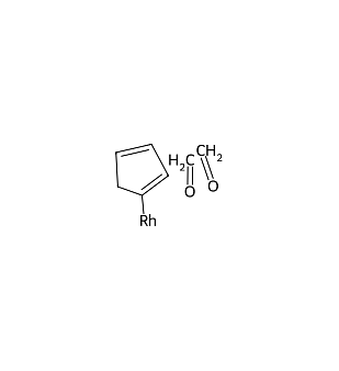 C=O.C=O.[Rh][C]1=CC=CC1